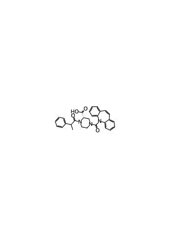 CC(C(=O)N1CCN(C(=O)N2c3ccccc3C=Cc3ccccc32)C[C@H]1C(=O)O)c1ccccc1